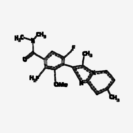 COc1c(P)c(C(=O)N(C)C)cc(F)c1-c1nc2cc(C)ccn2c1C